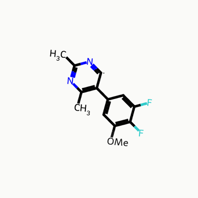 COc1cc(-c2[c]nc(C)nc2C)cc(F)c1F